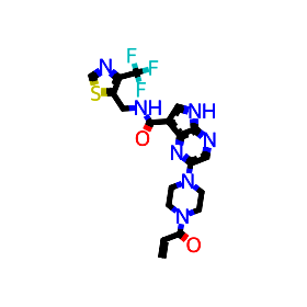 C=CC(=O)N1CCN(c2cnc3[nH]cc(C(=O)NCc4scnc4C(F)(F)F)c3n2)CC1